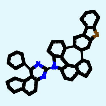 c1ccc(-c2nc(-n3c4cccc5c4c4c6c(cccc6ccc43)-c3cc4sc6ccccc6c4cc3-5)nc3ccc4ccccc4c23)cc1